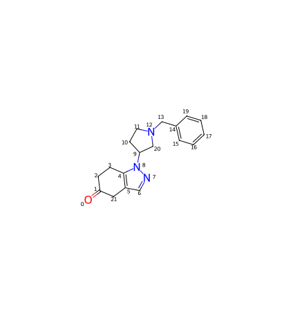 O=C1CCc2c(cnn2C2CCN(Cc3ccccc3)C2)C1